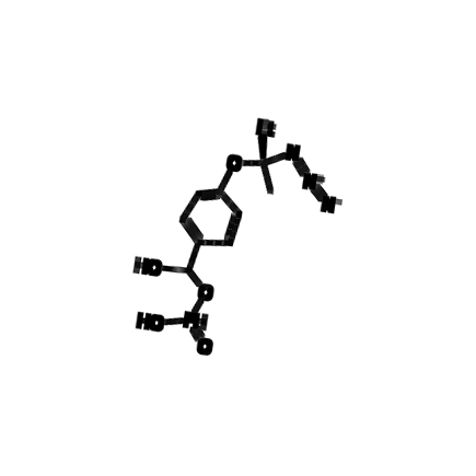 CC[C@](C)(N=[N+]=[N-])Oc1ccc(C(O)O[PH](=O)O)cc1